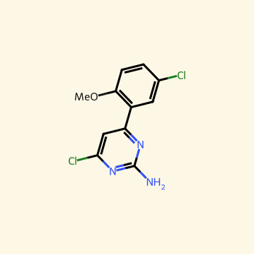 COc1ccc(Cl)cc1-c1cc(Cl)nc(N)n1